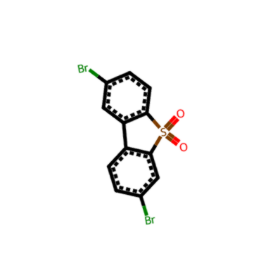 O=S1(=O)c2ccc(Br)cc2-c2ccc(Br)cc21